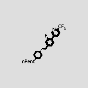 CCCCC[C@H]1CC[C@H](CCc2ccc(-c3ccc(C(F)(F)F)nc3)c(F)c2)CC1